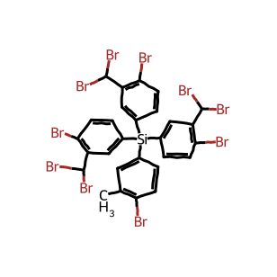 Cc1cc([Si](c2ccc(Br)c(C(Br)Br)c2)(c2ccc(Br)c(C(Br)Br)c2)c2ccc(Br)c(C(Br)Br)c2)ccc1Br